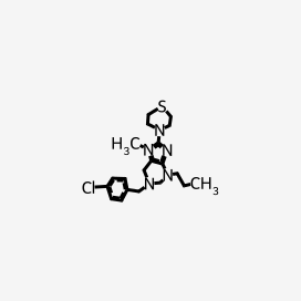 CCCN1CN(Cc2ccc(Cl)cc2)Cc2c1nc(N1CCSCC1)n2C